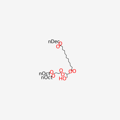 CCCCCCCCCCOC(=O)CCCCCCCCCCCC(=O)OCC(CO)COC(=O)CCC(OCCCCCCCC)OCCCCCCCC